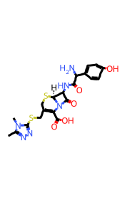 Cc1nnc(SCC2=C(C(=O)O)N3C(=O)C(NC(=O)C(N)c4ccc(O)cc4)[C@@H]3SC2)n1C